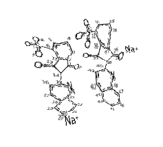 O=C1c2cccc(S(=O)(=O)[O-])c2C(=O)C1c1ccc2ccccc2n1.O=C1c2cccc(S(=O)(=O)[O-])c2C(=O)C1c1ccc2ccccc2n1.[Na+].[Na+]